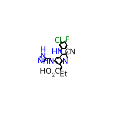 CCC(=Cc1cc(NCc2cnc[nH]2)cc2c(Nc3ccc(F)c(Cl)c3)c(C#N)cnc12)C(=O)O